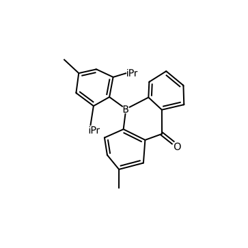 Cc1ccc2c(c1)C(=O)c1ccccc1B2c1c(C(C)C)cc(C)cc1C(C)C